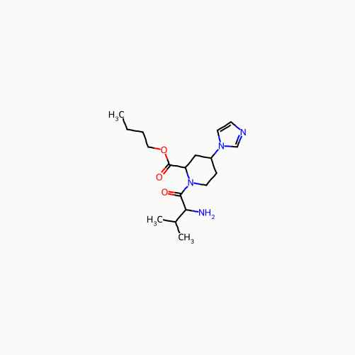 CCCCOC(=O)C1CC(n2ccnc2)CCN1C(=O)C(N)C(C)C